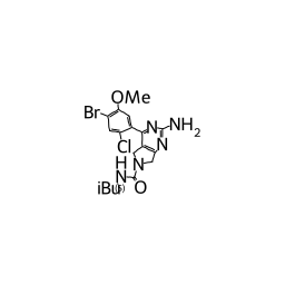 CC[C@H](C)NC(=O)N1Cc2nc(N)nc(-c3cc(OC)c(Br)cc3Cl)c2C1